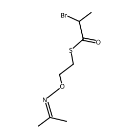 CC(C)=NOCCSC(=O)C(C)Br